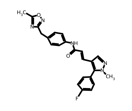 Cc1nc(Cc2ccc(NC(=O)C=Cc3cnn(C)c3-c3ccc(F)cc3)cc2)no1